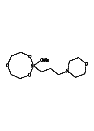 CO[Si]1(CCCN2CCOCC2)OCCOCCO1